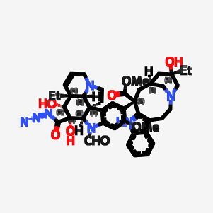 CC[C@]1(O)C[C@H]2CN(CCc3c([nH]c4ccccc34)[C@@](C(=O)OC)(c3cc4c(cc3OC)N(C=O)[C@H]3[C@@](O)(C(=O)N=[N+]=[N-])[C@H](O)[C@]5(CC)C=CCN6CC[C@]43[C@@H]65)C2)C1